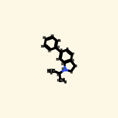 CC(C)N1CCc2ccc(-c3ccccc3)cc21